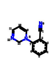 N#Cc1ccccc1N1C=CC=NC1